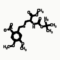 COC(=O)C(CSCc1cc(OC)c(OC)cc1[N+](=O)[O-])NC(=O)OC(C)(C)C